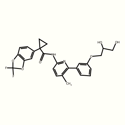 Cc1ccc(NC(=O)C2(c3ccc4c(c3)OC(F)(F)O4)CC2)nc1-c1cccc(OCC(O)CO)c1